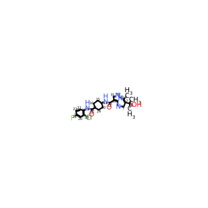 Cc1c(C(C)(C)O)cnc2c(C(=O)NC3CCC(C(=O)Nc4ccc(F)cc4Cl)CC3)cnn12